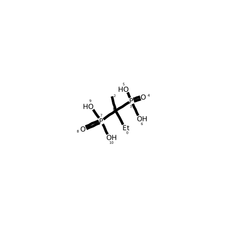 CCC(C)(P(=O)(O)O)P(=O)(O)O